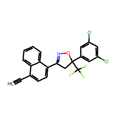 C#Cc1ccc(C2=NOC(c3cc(Cl)cc(Cl)c3)(C(F)(F)F)C2)c2ccccc12